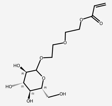 C=CC(=O)OCCOCCOC1O[C@H](CO)[C@@H](O)[C@H](O)[C@H]1O